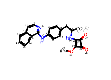 CCOC(=O)C(Cc1ccc(Nc2nccc3ccccc23)cc1)Nc1c(OC(C)C)c(=O)c1=O